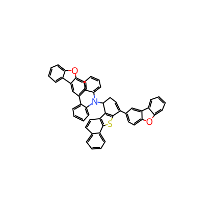 C1=C(c2ccc3oc4ccccc4c3c2)c2sc3c(ccc4ccccc43)c2C(N(c2ccccc2)c2ccccc2-c2ccc3oc4ccccc4c3c2)C1